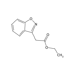 CCOC(=O)Cc1noc2ccccc12